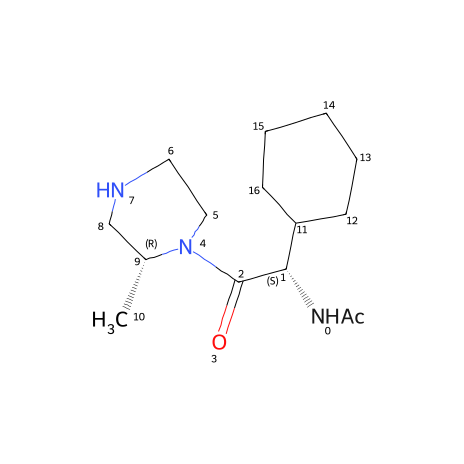 CC(=O)N[C@H](C(=O)N1CCNC[C@H]1C)C1CCCCC1